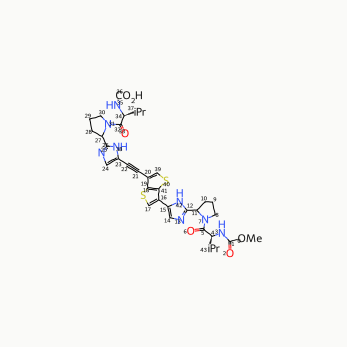 COC(=O)N[C@H](C(=O)N1CCCC1c1ncc(-c2csc3c(C#Cc4cnc(C5CCCN5C(=O)[C@@H](NC(=O)O)C(C)C)[nH]4)csc23)[nH]1)C(C)C